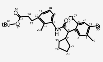 Cc1cc(C(C(=O)Nc2cccc(CCC(=O)OC(C)(C)C)c2C)C2CCCC2)c(Cl)cc1Br